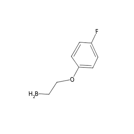 BCCOc1ccc(F)cc1